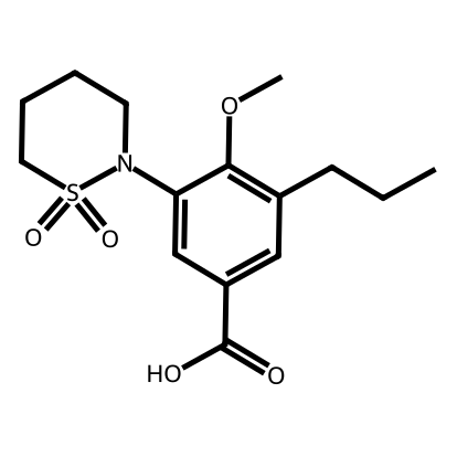 CCCc1cc(C(=O)O)cc(N2CCCCS2(=O)=O)c1OC